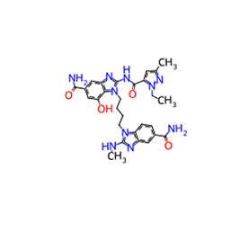 CCn1nc(C)cc1C(=O)Nc1nc2cc(C(N)=O)cc(O)c2n1CCCCn1c(NC)nc2cc(C(N)=O)ccc21